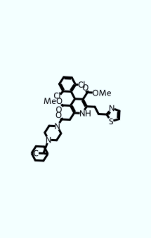 COC(=O)C1=C(CCc2nccs2)NC(CC(=O)N2CCN(C3CC4CCC3CC4)CC2)=C(C(=O)OC)C1c1c(Cl)cccc1Cl